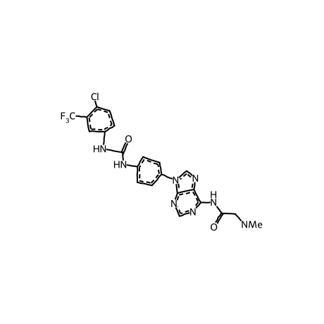 CNCC(=O)Nc1ncnc2c1ncn2-c1ccc(NC(=O)Nc2ccc(Cl)c(C(F)(F)F)c2)cc1